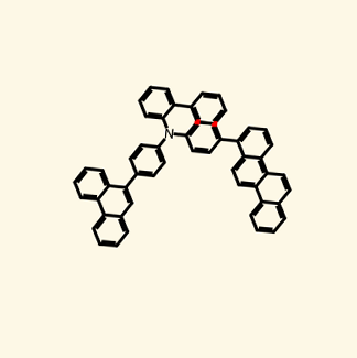 c1ccc(-c2ccccc2N(c2ccc(-c3cc4ccccc4c4ccccc34)cc2)c2ccc(-c3cccc4c3ccc3c5ccccc5ccc43)cc2)cc1